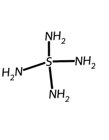 NS(N)(N)N